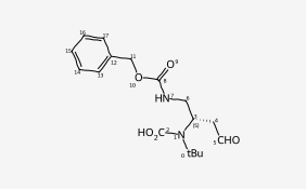 CC(C)(C)N(C(=O)O)[C@@H](CC=O)CNC(=O)OCc1ccccc1